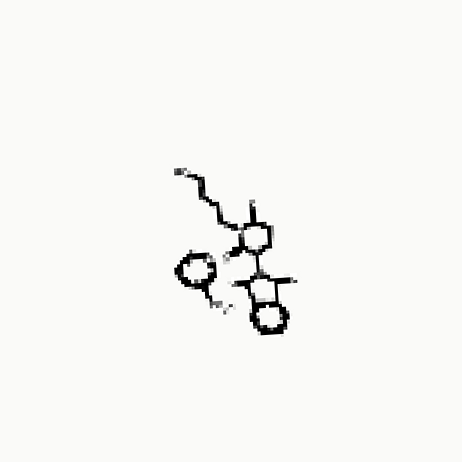 O=C(O)c1cccnc1.O=C1CCC(N2C(=O)c3ccccc3C2=O)C(=O)N1CCCCO